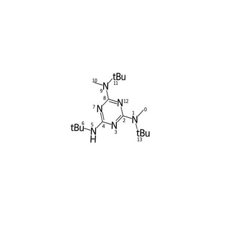 CN(c1nc(NC(C)(C)C)nc(N(C)C(C)(C)C)n1)C(C)(C)C